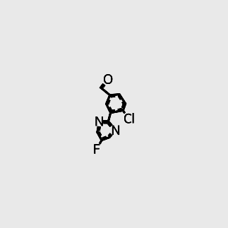 O=Cc1ccc(Cl)c(-c2ncc(F)cn2)c1